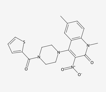 Cc1ccc2c(c1)c(N1CCN(C(=O)c3cccs3)CC1)c([N+](=O)[O-])c(=O)n2C